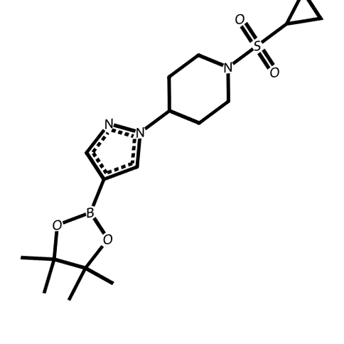 CC1(C)OB(c2cnn(C3CCN(S(=O)(=O)C4CC4)CC3)c2)OC1(C)C